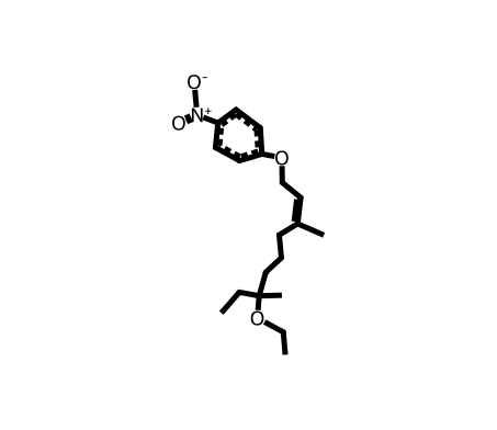 CCOC(C)(CC)CCCC(C)=CCOc1ccc([N+](=O)[O-])cc1